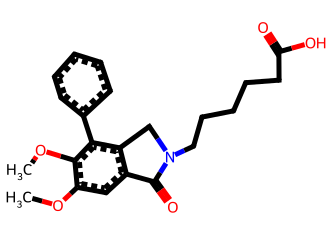 COc1cc2c(c(-c3ccccc3)c1OC)CN(CCCCCC(=O)O)C2=O